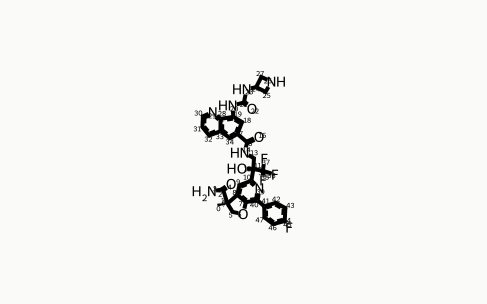 C[C@]1(C(N)=O)COc2c1cc(C(O)(CNC(=O)c1cc(NC(=O)NC3CNC3)c3ncccc3c1)C(F)(F)F)nc2-c1ccc(F)cc1